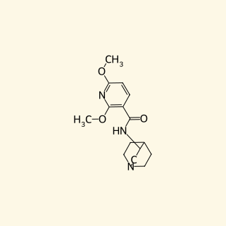 COc1ccc(C(=O)NC2CN3CCC2CC3)c(OC)n1